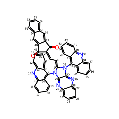 O=C1C(=CC=C2N(c3c4ccccc4nc4ccccc34)c3nc4ccccc4nc3N2c2c3ccccc3nc3ccccc23)C(=O)c2cc3ccccc3cc21